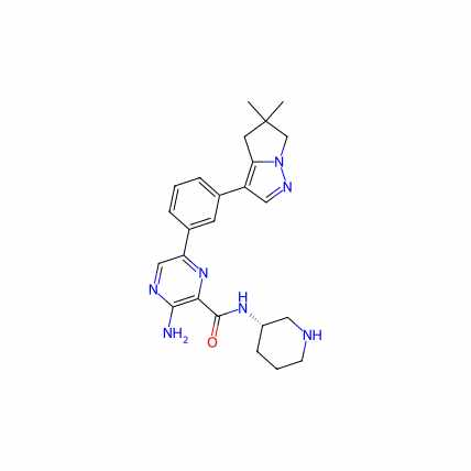 CC1(C)Cc2c(-c3cccc(-c4cnc(N)c(C(=O)N[C@H]5CCCNC5)n4)c3)cnn2C1